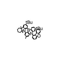 Cc1cc2c3c(c1)N1c4c(cc(C(C)(C)C)cc4C4(C)CCCCC14C)B3c1ccc(C(C)(C)C)cc1N2c1cccc2oc3ccccc3c12